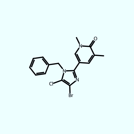 Cc1cc(-c2nc(Br)c(Cl)n2Cc2ccccc2)cn(C)c1=O